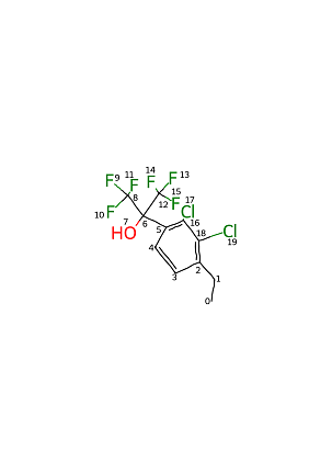 CCc1ccc(C(O)(C(F)(F)F)C(F)(F)F)c(Cl)c1Cl